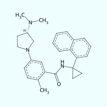 Cc1ccc(N2CC[C@H](N(C)C)C2)cc1C(=O)NC1(c2cccc3ccccc23)CC1